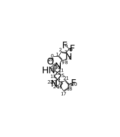 Cc1cc(C(F)F)ncc1N1CC2(CC(c3cccc(F)c3)(N(C)C)C2)NC1=O